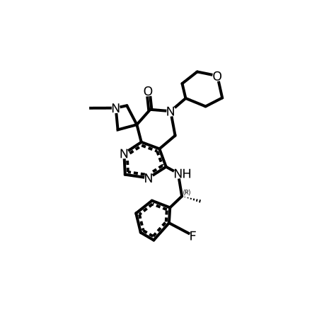 C[C@@H](Nc1ncnc2c1CN(C1CCOCC1)C(=O)C21CN(C)C1)c1ccccc1F